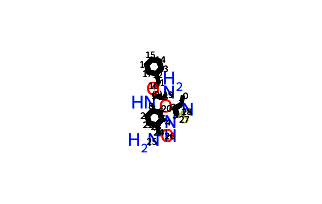 Cc1cc(Nc2cc(N[C@H](OCc3ccccc3)C(N)=O)ccc2C(N)=O)sn1